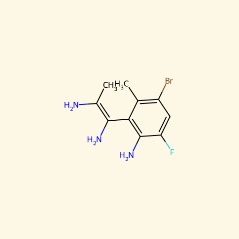 C/C(N)=C(/N)c1c(C)c(Br)cc(F)c1N